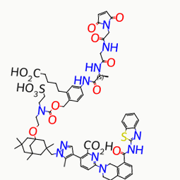 Cc1c(-c2ccc(N3CCc4cccc(C(=O)Nc5nc6ccccc6s5)c4C3)nc2C(=O)O)cnn1CC1(C)CC2(C)CC(C)(C)CC(OCCN(CCS(=O)(=O)O)C(=O)OCc3ccc(NC(=O)[C@H](C)NC(=O)CNC(=O)CN4C(=O)C=CC4=O)cc3CCCCC(=O)O)(C1)C2